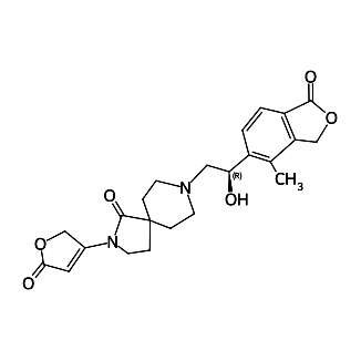 Cc1c([C@@H](O)CN2CCC3(CC2)CCN(C2=CC(=O)OC2)C3=O)ccc2c1COC2=O